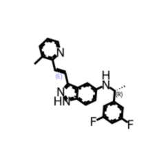 Cc1cccnc1/C=C/c1n[nH]c2ccc(N[C@H](C)c3cc(F)cc(F)c3)cc12